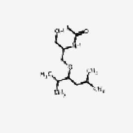 CC(C)CC(OCC(CO)NC(=O)I)C(C)C